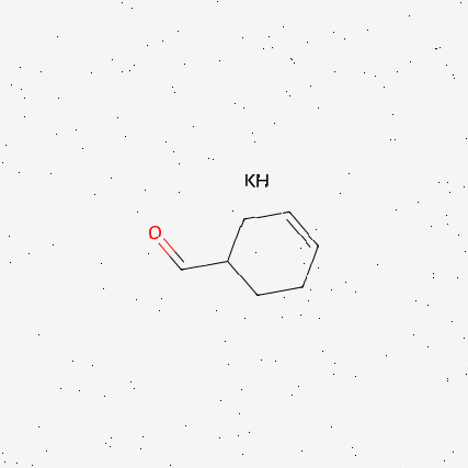 O=CC1CC=CCC1.[KH]